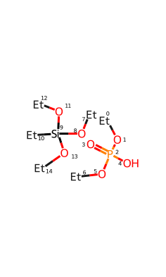 CCOP(=O)(O)OCC.CCO[Si](CC)(OCC)OCC